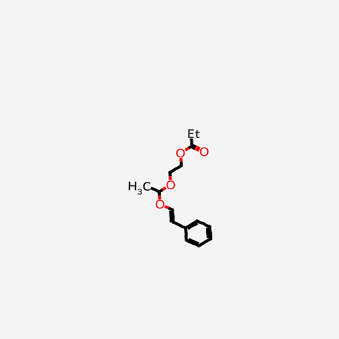 CCC(=O)OCCOC(C)OC=Cc1ccccc1